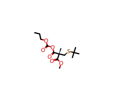 CCCOC(=O)OC(=O)[C@](C)(CSC(C)(C)C)C(=O)OC